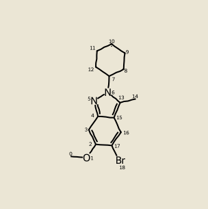 COc1cc2nn(C3CC[CH]CC3)c(C)c2cc1Br